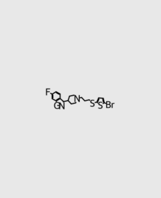 Fc1ccc2c(C3CCN(CCCSc4ccc(Br)s4)CC3)noc2c1